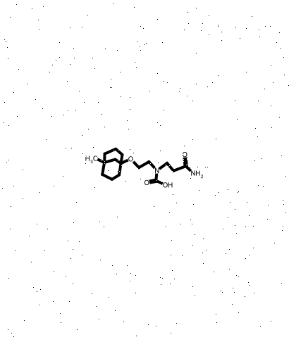 CC12CCCC(OCCN(CCC(N)=O)C(=O)O)(CCC1)C2